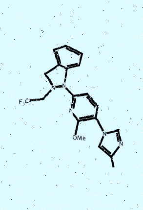 COc1nc(N2c3ccccc3CN2CC(F)(F)F)ccc1-n1cnc(C)c1